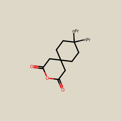 CCCC1(CCC)CCC2(CC1)CC(=O)OC(=O)C2